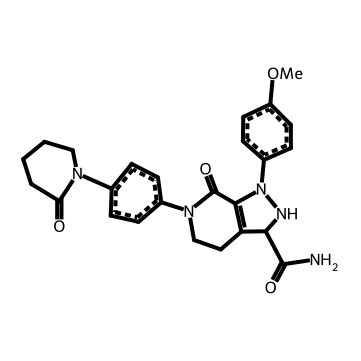 COc1ccc(N2NC(C(N)=O)C3=C2C(=O)N(c2ccc(N4CCCCC4=O)cc2)CC3)cc1